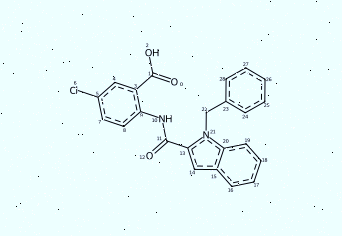 O=C(O)c1cc(Cl)ccc1NC(=O)c1cc2ccccc2n1Cc1ccccc1